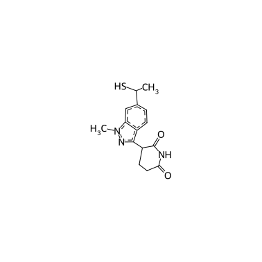 CC(S)c1ccc2c(C3CCC(=O)NC3=O)nn(C)c2c1